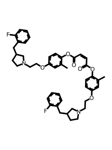 Cc1cc(OCCN2CCC(Cc3ccccc3F)C2)ccc1OC(=O)/C=C\C(=O)Oc1ccc(OCCN2CCC(Cc3ccccc3F)C2)cc1C